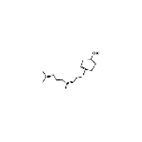 CC(C)=CCCC(C)=CCCC1=CCC(C=O)CC1